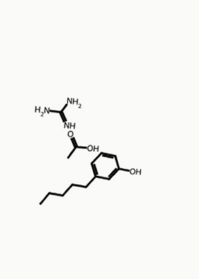 CC(=O)O.CCCCCc1cccc(O)c1.N=C(N)N